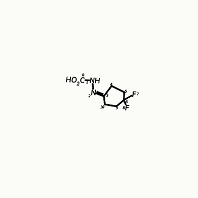 O=C(O)NN=C1CCC(F)(F)CC1